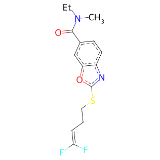 CCN(C)C(=O)c1ccc2nc(SCCC=C(F)F)oc2c1